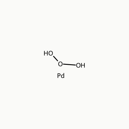 OOO.[Pd]